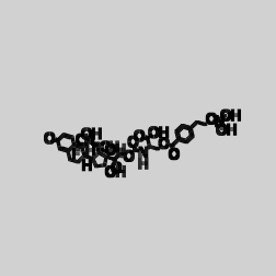 C[C@]12C=CC(=O)C=C1CC[C@H]1[C@@H]3C[C@@H](O)[C@](O)(C(=O)COC(=O)NC(COC(=O)c4ccc(CCON(O)O)cc4)C(=O)O)[C@@]3(C)C[C@H](O)[C@@]12F